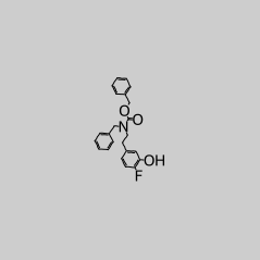 O=C(OCc1ccccc1)N(CCc1ccc(F)c(O)c1)Cc1ccccc1